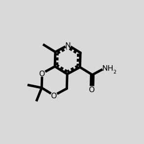 Cc1ncc(C(N)=O)c2c1OC(C)(C)OC2